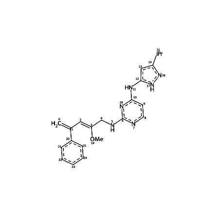 C=C(/C=C(/CNc1nccc(Nc2cc(C(C)C)n[nH]2)n1)OC)c1ccccc1